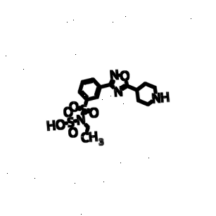 CCN(S(=O)(=O)O)S(=O)(=O)c1cccc(-c2noc(C3CCNCC3)n2)c1